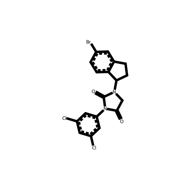 O=C1CN(C2CCc3cc(Br)ccc32)C(=O)N1c1cc(Cl)cc(Cl)c1